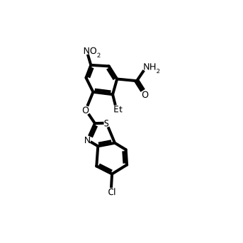 CCc1c(Oc2nc3cc(Cl)ccc3s2)cc([N+](=O)[O-])cc1C(N)=O